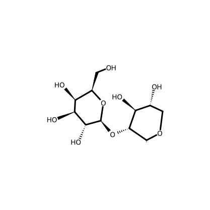 OC[C@H]1O[C@@H](O[C@H]2[CH]OC[C@@H](O)[C@@H]2O)[C@H](O)[C@@H](O)[C@H]1O